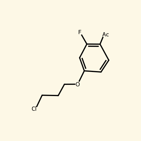 CC(=O)c1ccc(OCCCCl)cc1F